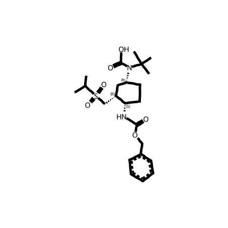 CC(C)S(=O)(=O)C[C@@H]1C[C@H](N(C(=O)O)C(C)(C)C)CC[C@@H]1NC(=O)OCc1ccccc1